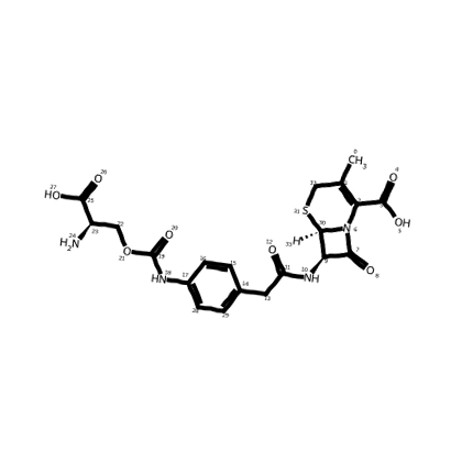 CC1=C(C(=O)O)N2C(=O)[C@@H](NC(=O)Cc3ccc(NC(=O)OC[C@@H](N)C(=O)O)cc3)[C@H]2SC1